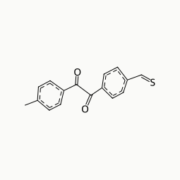 Cc1ccc(C(=O)C(=O)c2ccc(C=S)cc2)cc1